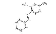 Cc1cc([N+](=O)[O-])ccc1N=Nc1ccccc1